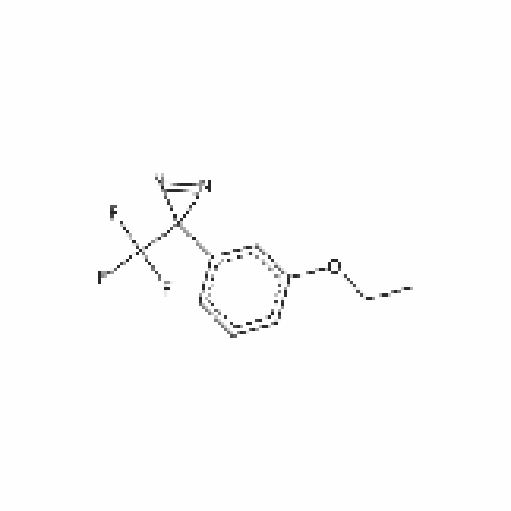 CCOc1cccc(C2(C(F)(F)F)N=N2)c1